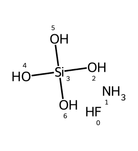 F.N.O[Si](O)(O)O